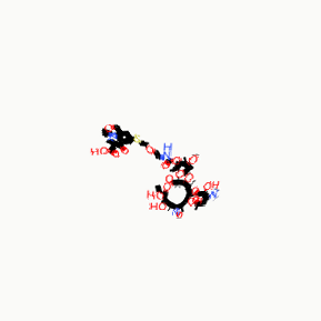 CC[C@H]1OC(=O)[C@H](C)[C@@H](O[C@H]2C[C@@](C)(OC)[C@@H](OC(=O)NCCOCCSc3cc4c5c(c3)c(=O)c(C(=O)O)cn5C(C)(C)OC4)[C@H](C)O2)[C@H](C)[C@@H](OC2O[C@H](C)C[C@H](N(C)C)[C@H]2O)[C@](C)(O)C[C@@H](C)/C(=N\OC)[C@H](C)[C@@H](O)[C@]1(C)O